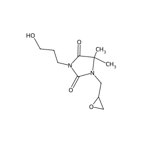 CC1(C)C(=O)N(CCCO)C(=O)N1CC1CO1